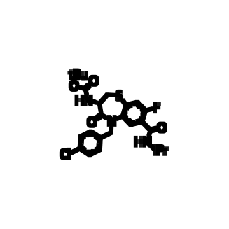 CC(C)NC(=O)c1cc2c(cc1F)SC[C@H](NC(=O)OC(C)(C)C)C(=O)N2Cc1ccc(Cl)cc1